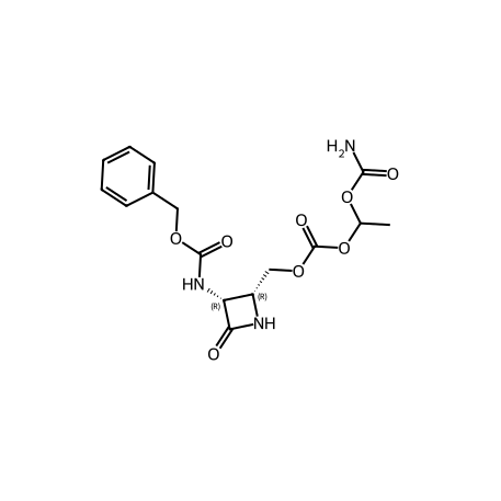 CC(OC(N)=O)OC(=O)OC[C@@H]1NC(=O)[C@@H]1NC(=O)OCc1ccccc1